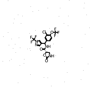 O=C1NC[C@@H](C(=O)NC(c2ccc(OC(F)(F)F)c(Cl)c2)c2cnn(C(F)(F)F)c2)O1